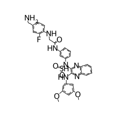 COc1cc(Nc2nc3ccccc3nc2N(c2cccc(NC(=O)CNc3ccc(CN)cc3F)c2)[SH](=O)=O)cc(OC)c1